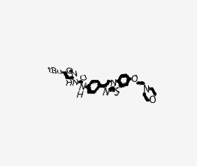 CC(C)(C)c1cc(NC(=O)NC2=CCC(c3cn4c(n3)sc3cc(OCCN5CCOCC5)ccc34)C=C2)no1